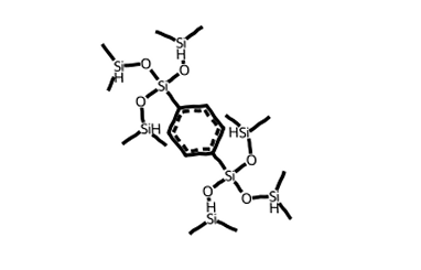 C[SiH](C)O[Si](O[SiH](C)C)(O[SiH](C)C)c1ccc([Si](O[SiH](C)C)(O[SiH](C)C)O[SiH](C)C)cc1